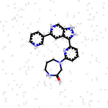 O=C1CN(c2cccc(-c3n[nH]c4cnc(-c5cccnc5)cc34)n2)CCCN1